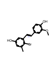 COc1cc(/C=C/c2cc(O)cc(C)c2Br)ccc1O